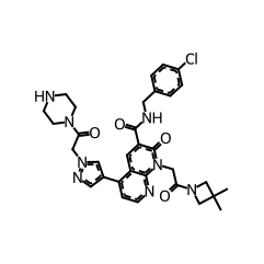 CC1(C)CN(C(=O)Cn2c(=O)c(C(=O)NCc3ccc(Cl)cc3)cc3c(-c4cnn(CC(=O)N5CCNCC5)c4)ccnc32)C1